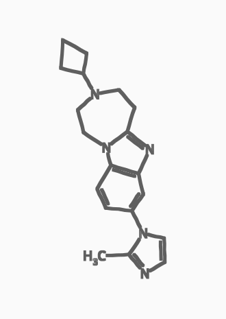 Cc1nccn1-c1ccc2c(c1)nc1n2CCN(C2CCC2)CC1